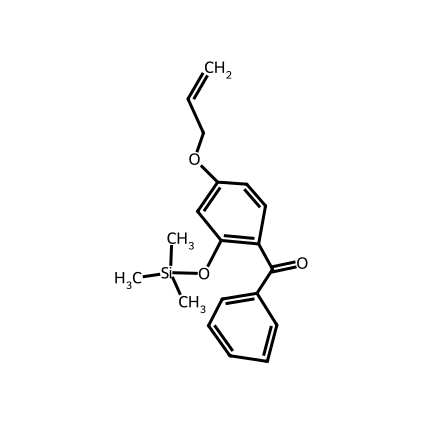 C=CCOc1ccc(C(=O)c2ccccc2)c(O[Si](C)(C)C)c1